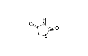 O=C1CS[Se](=O)N1